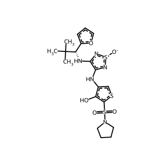 CC(C)(C)[C@@H](Nc1n[s+]([O-])nc1Nc1csc(S(=O)(=O)N2CCCC2)c1O)c1ccco1